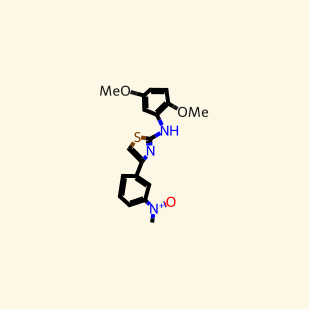 COc1ccc(OC)c(Nc2nc(-c3cccc([N+](C)=O)c3)cs2)c1